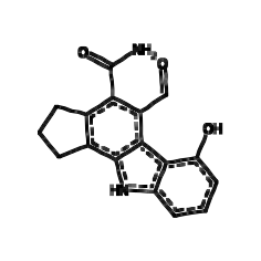 NC(=O)c1c2c(c3[nH]c4cccc(O)c4c3c1C=O)CCC2